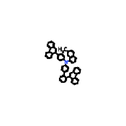 CC1C=Cc2cccc(N(c3ccc(-c4ccccc4-c4cc5ccccc5c5ccccc45)cc3)c3ccc(-c4cc5ccccc5c5ccccc45)cc3)c2C1